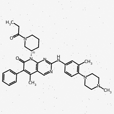 CCC(=O)N1CCC[C@H](n2c(=O)c(-c3ccccc3)c(C)c3cnc(Nc4ccc(N5CCN(C)CC5)c(C)c4)nc32)C1